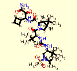 CC(C)N(C[C@@H](NC(=O)N[C@H](C(=O)N1C[C@H]2[C@@H]([C@H]1C(=O)NC(C(=O)C(N)=O)C1CCC1)C2(C)C)C(C)(C)C)C(C)(C)C)S(C)(=O)=O